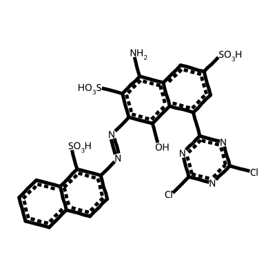 Nc1c(S(=O)(=O)O)c(N=Nc2ccc3ccccc3c2S(=O)(=O)O)c(O)c2c(-c3nc(Cl)nc(Cl)n3)cc(S(=O)(=O)O)cc12